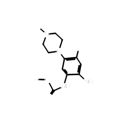 CCN1CCN(c2cc(NC(=O)OC(C)(C)C)c(N)cc2Cl)CC1